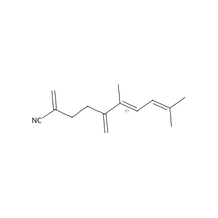 C=C(C#N)CCC(=C)/C(C)=C/C=C(C)C